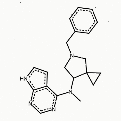 CN(c1ncnc2[nH]ccc12)C1CN(Cc2ccccc2)CC12CC2